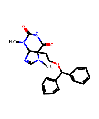 CN1C(=O)NC(=O)C2(CCOC(c3ccccc3)c3ccccc3)C1N=CN2C